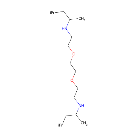 CC(C)CC(C)NCCOCCOCCNC(C)CC(C)C